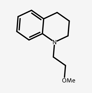 COCCN1CCCc2ccccc21